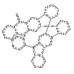 O=c1c2ccccc2oc2cc3c(cc12)-c1ccccc1C31c2ccccc2-c2cc3c4ccccc4n(-c4ccccc4)c3cc21